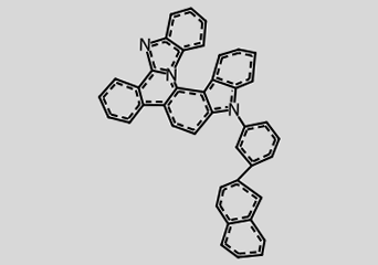 c1cc(-c2ccc3ccccc3c2)cc(-n2c3ccccc3c3c2ccc2c4ccccc4c4nc5ccccc5n4c23)c1